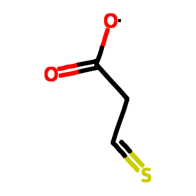 [O]C(=O)CC=S